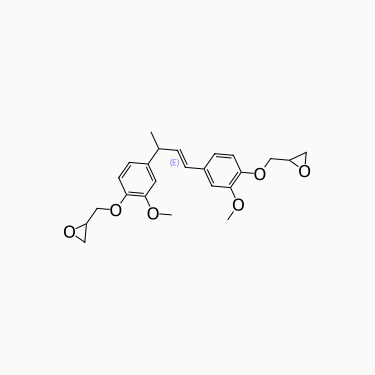 COc1cc(/C=C/C(C)c2ccc(OCC3CO3)c(OC)c2)ccc1OCC1CO1